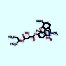 COc1ccc2c3c1O[C@@H]1C(OC(=O)[C@@H](O)CC(=O)O[C@H](CC(=O)O)C(=O)O)=CC[C@]4(O)[C@H](C2)N(C)CC[C@@]314